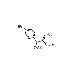 CCC=C(C(=O)O)C(OC(C)=O)c1ccc(C(C)C)cc1